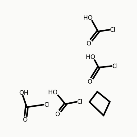 C1CCC1.O=C(O)Cl.O=C(O)Cl.O=C(O)Cl.O=C(O)Cl